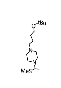 CSC(C)N1CCN(CCCCOC(C)(C)C)CC1